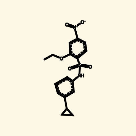 CCOc1cc([N+](=O)[O-])ccc1S(=O)(=O)Nc1cccc(C2CC2)c1